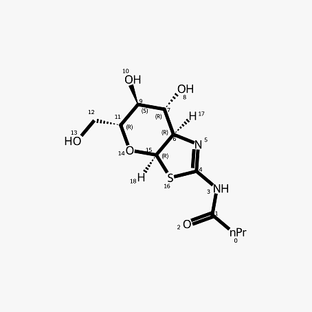 CCCC(=O)NC1=N[C@@H]2[C@@H](O)[C@H](O)[C@@H](CO)O[C@@H]2S1